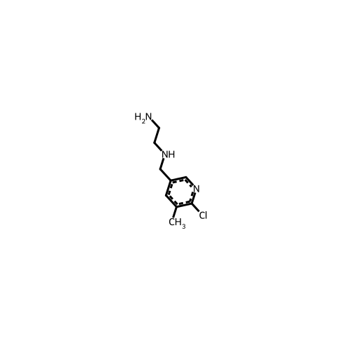 Cc1cc(CNCCN)cnc1Cl